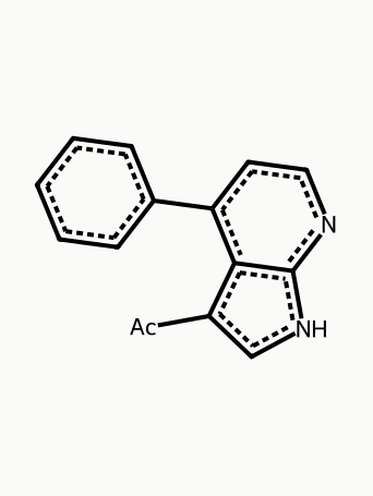 CC(=O)c1c[nH]c2nccc(-c3ccccc3)c12